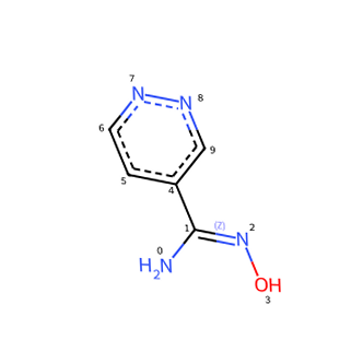 N/C(=N\O)c1ccnnc1